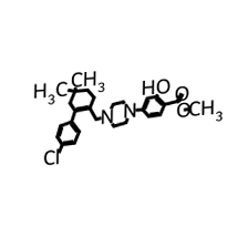 COC(=O)c1ccc(N2CCN(CC3=C(c4ccc(Cl)cc4)CC(C)(C)CC3)CC2)cc1O